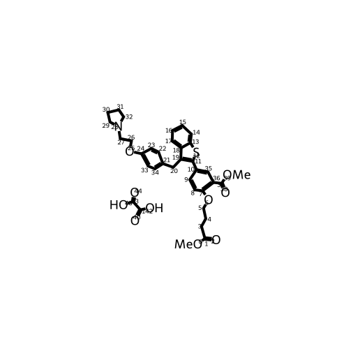 COC(=O)CCCOc1ccc(-c2sc3ccccc3c2Cc2ccc(OCCN3CCCC3)cc2)cc1C(=O)OC.O=C(O)C(=O)O